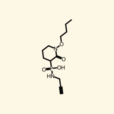 C#CCNP(=O)(O)C1CCCN(OCCCC)C1=O